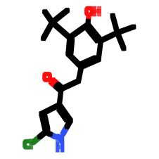 CC(C)(C)c1cc(CC(=O)c2c[nH]c(Cl)c2)cc(C(C)(C)C)c1O